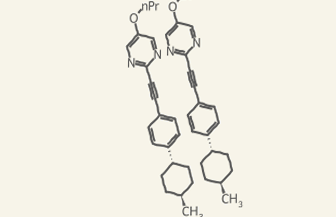 CCCOc1cnc(C#Cc2ccc([C@H]3CC[C@H](C)CC3)cc2)nc1.CCOc1cnc(C#Cc2ccc([C@H]3CC[C@H](C)CC3)cc2)nc1